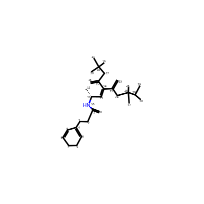 C=C(CCC1=CCCC=C1)N[C@H](C)/C=C(\C(=C)CC(C)(C)C)C(=C)CC(C)(C)C(C)C